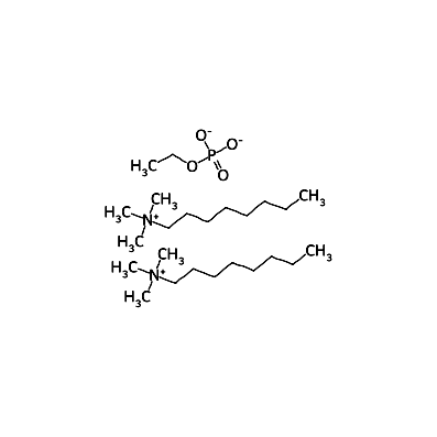 CCCCCCCC[N+](C)(C)C.CCCCCCCC[N+](C)(C)C.CCOP(=O)([O-])[O-]